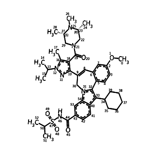 COc1ccc2c(c1)C=C(c1nn(C(C)C)c(C)c1C(=O)N1C[C@@H](C)N(C)[C@@H](C)C1)Cn1c-2c(C2CCCCC2)c2ccc(C(=O)NS(=O)(=O)C(C)C)cc21